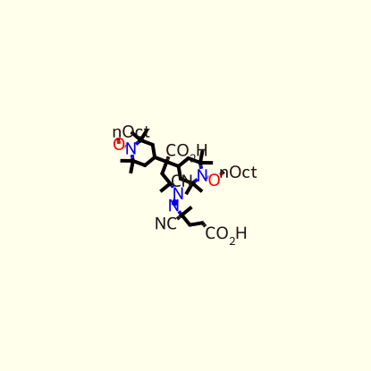 CCCCCCCCON1C(C)(C)CC(C(CC(C)(C#N)/N=N/C(C)(C#N)CCC(=O)O)(C(=O)O)C2CC(C)(C)N(OCCCCCCCC)C(C)(C)C2)CC1(C)C